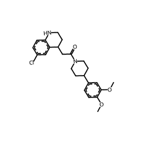 COc1ccc(C2CCN(C(=O)CC3CCNc4ccc(Cl)cc43)CC2)cc1OC